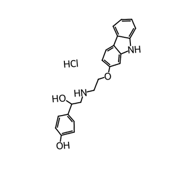 Cl.Oc1ccc(C(O)CNCCOc2ccc3c(c2)[nH]c2ccccc23)cc1